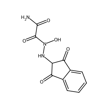 NC(=O)C(=O)N(O)NC1C(=O)c2ccccc2C1=O